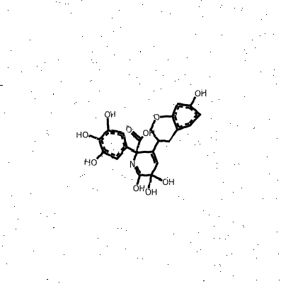 O=C(O)C1(c2cc(O)c(O)c(O)c2)N=C(O)C(O)(O)C=C1C1COc2cc(O)ccc2C1